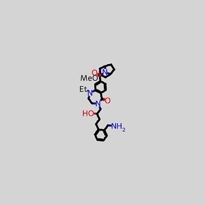 CCN1CCN(CC(O)CCc2ccccc2CN)C(=O)c2ccc(C(=O)N3C4CCC3CC(OC)C4)cc21